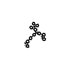 c1ccc(C2(c3ccccc3)c3ccccc3-c3cc(N(c4ccc(-c5ccc(-c6ccc7sc8ccccc8c7c6)cc5)cc4)c4ccc(-c5cccc6c5sc5ccccc56)cc4)ccc32)cc1